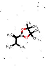 C=C(B1OC(C)(C)C(C)(C)O1)C(C)C